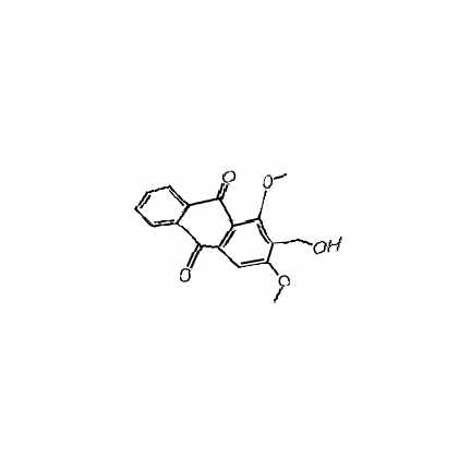 COc1cc2c(c(OC)c1CO)C(=O)c1ccccc1C2=O